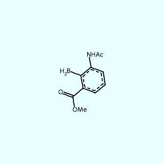 Bc1c(NC(C)=O)cccc1C(=O)OC